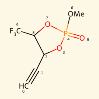 C#CC1OP(=O)(OC)OC1C(F)(F)F